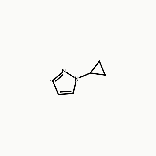 [c]1ccn(C2CC2)n1